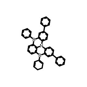 C1=CC(B2c3cc(-c4ccccc4)ccc3N3c4ccc(-c5ccccc5)cc4B(c4ccccc4)c4cccc2c43)=CCC1